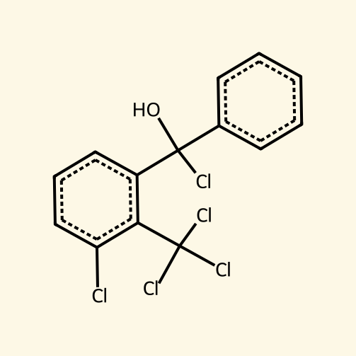 OC(Cl)(c1ccccc1)c1cccc(Cl)c1C(Cl)(Cl)Cl